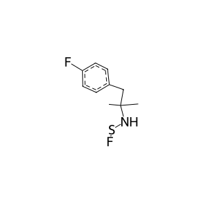 CC(C)(Cc1ccc(F)cc1)NSF